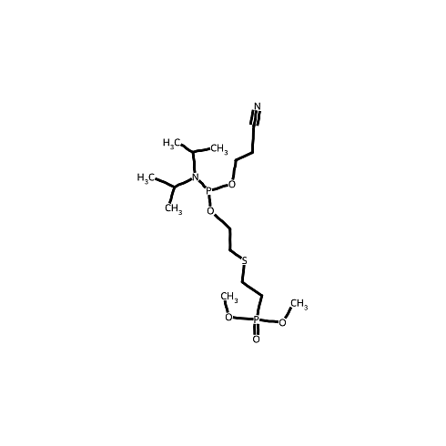 COP(=O)(CCSCCOP(OCCC#N)N(C(C)C)C(C)C)OC